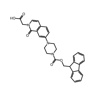 O=C(O)Cn1ccc2ccc(N3CCN(C(=O)OCC4c5ccccc5-c5ccccc54)CC3)cc2c1=O